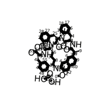 COc1ccc2cc([C@H](C)C(=O)N[C@H](Cc3ccccc3)C(=O)N[C@H](Cc3ccccc3)C(=O)N[C@H](CCCCN)C(=O)N[C@H](Cc3ccc(OP(O)O)cc3)C(=O)O)ccc2c1